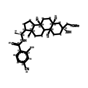 COC[C@@]1(O)CC[C@@H]2C3CC[C@@]4(C)C(CCC4[C@@H](C)NC(=O)c4ccc(C#N)cc4F)[C@@H]3CC[C@@H]2C1